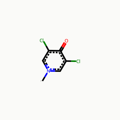 [CH2]n1cc(Cl)c(=O)c(Cl)c1